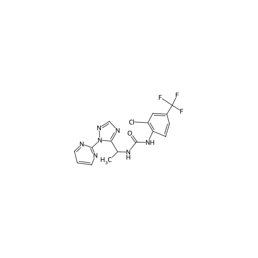 CC(NC(=O)Nc1ccc(C(F)(F)F)cc1Cl)c1ncnn1-c1ncccn1